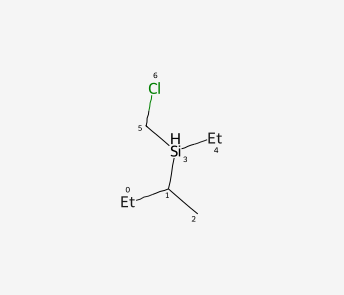 CCC(C)[SiH](CC)CCl